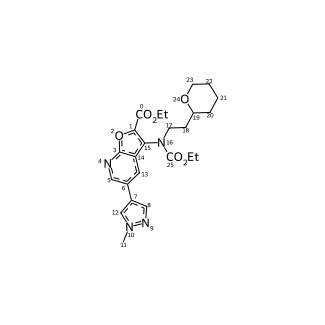 CCOC(=O)c1oc2ncc(-c3cnn(C)c3)cc2c1N(CCC1CCCCO1)C(=O)OCC